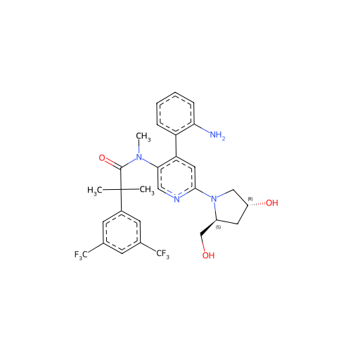 CN(C(=O)C(C)(C)c1cc(C(F)(F)F)cc(C(F)(F)F)c1)c1cnc(N2C[C@H](O)C[C@H]2CO)cc1-c1ccccc1N